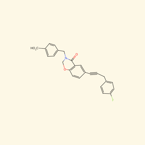 O=C(O)c1ccc(CN2COc3ccc(C#CCc4ccc(F)cc4)cc3C2=O)cc1